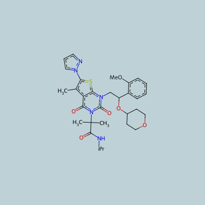 COc1ccccc1C(Cn1c(=O)n(C(C)(C)C(=O)NC(C)C)c(=O)c2c(C)c(-n3cccn3)sc21)OC1CCOCC1